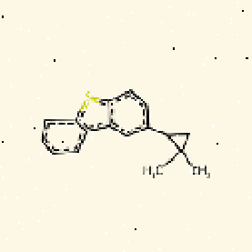 CC1(C)CC1c1ccc2sc3ccccc3c2c1